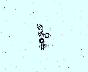 [O-][NH+](O)c1ccc(N2N=NC(CN3CCOCC3)C2N2CCOCC2)cc1